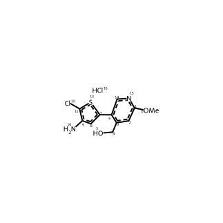 COc1cc(CO)c(-c2cc(N)c(Cl)s2)cn1.Cl